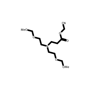 COCOCCN(CCOCOC)CCC(=O)OCC#N